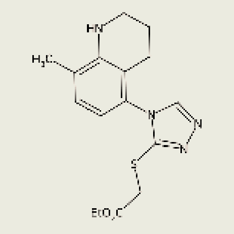 CCOC(=O)CSc1nncn1-c1ccc(C)c2c1CCCN2